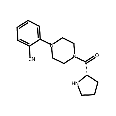 N#Cc1ccccc1N1CCN(C(=O)[C@@H]2CCCN2)CC1